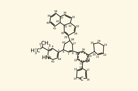 CC(C)C1=CC(C2C=C(c3cc(C4=CCCC=C4)nc(C4C=CCCC4)c3)CC(C3=CC4C(C=C3)C=CC3C=CC=CC34)C2)=CCN1